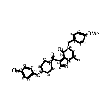 COc1ccc(Cn2cc(C)n3ncc(C(=O)N4CCC(Oc5ccc(Cl)cc5)CC4)c3c2=O)cc1